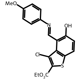 CCOC(=O)c1sc2ccc(O)c(C=Nc3ccc(OC)cc3)c2c1Cl